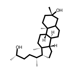 C[C@H](O)CC[C@@H](C)[C@H]1CC[C@H]2[C@@H]3CCC4C[C@@](C)(O)CC[C@]4(C)[C@H]3CC[C@]12C